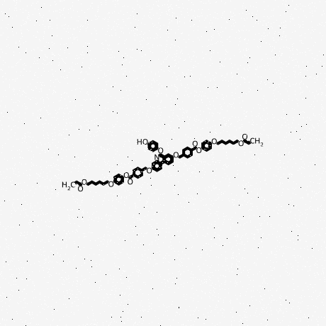 C=CC(=O)OCCCCCCOc1ccc(OC(=O)C2CCC(COc3ccc4c(c3)nc(Oc3ccc(O)cc3)c3cc(OCC5CCC(C(=O)Oc6ccc(OCCCCCCOC(=O)C=C)cc6)CC5)ccc34)CC2)cc1